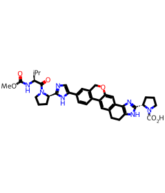 COC(=O)N[C@H](C(=O)N1CCC[C@@H]1c1ncc(-c2ccc3c(c2)COc2cc4c(cc2-3)CCc2[nH]c([C@@H]3CCCN3C(=O)O)nc2-4)[nH]1)C(C)C